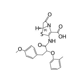 COc1ccc(CC(Oc2ccccc2C)C(=O)NC2=C(C(=O)O)N3C(=O)C[C@H]3S2)cc1